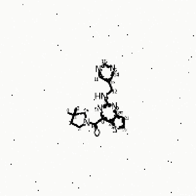 CC1(C)CCN(C(=O)c2nc(NCc3cncnc3)nc3ccsc23)C1